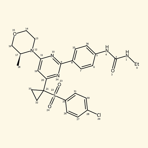 CCNC(=O)Nc1ccc(-c2nc(N3CCOC[C@@H]3C)cc(C3(S(=O)(=O)c4ccc(Cl)cc4)CC3)n2)cc1